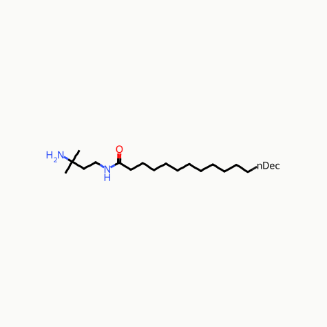 CCCCCCCCCCCCCCCCCCCCCC(=O)NCCC(C)(C)N